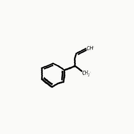 [CH]=CC([CH2])c1ccccc1